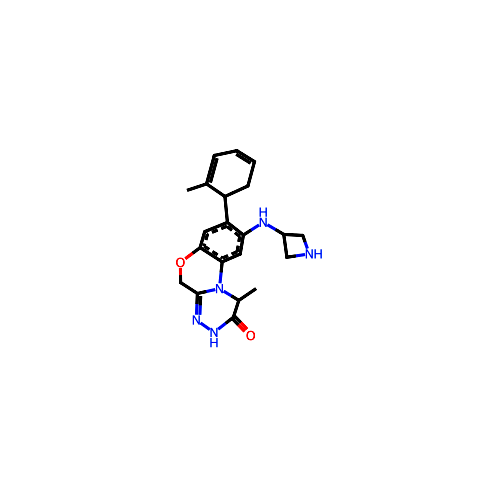 CC1=CC=CCC1c1cc2c(cc1NC1CNC1)N1C(=NNC(=O)C1C)CO2